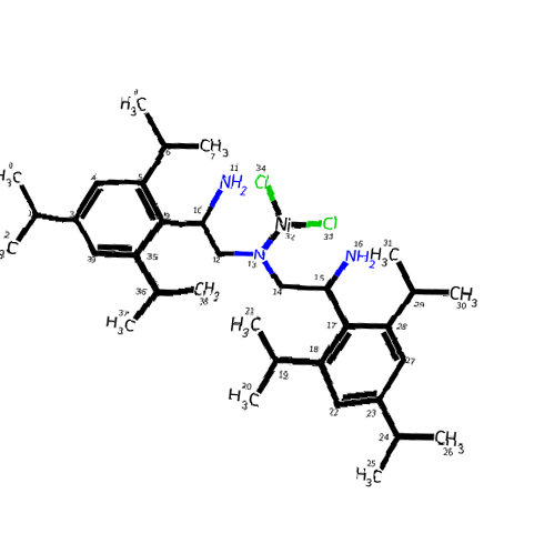 CC(C)c1cc(C(C)C)c(C(N)C[N](CC(N)c2c(C(C)C)cc(C(C)C)cc2C(C)C)[Ni]([Cl])[Cl])c(C(C)C)c1